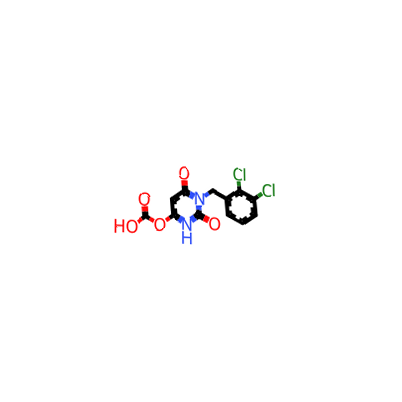 O=C(O)Oc1cc(=O)n(Cc2cccc(Cl)c2Cl)c(=O)[nH]1